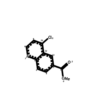 COC(=O)c1ccc2nccc(Cl)c2c1